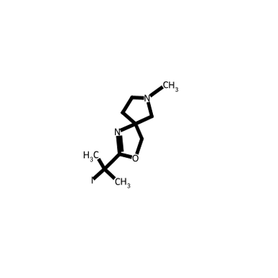 CN1CCC2(COC(C(C)(C)I)=N2)C1